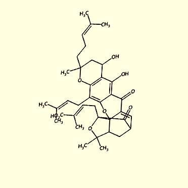 CC(C)=CCCC1(C)CC(O)c2c(O)c3c(c(CC=C(C)C)c2O1)OC12C(=CC4CC1C(C)(C)OC2(C/C=C(\C)C(=O)O)C4=O)C3=O